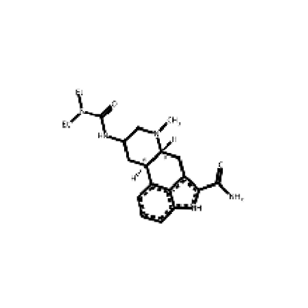 CCN(CC)C(=O)NC1C[C@@H]2c3cccc4[nH]c(C(N)=O)c(c34)C[C@H]2N(C)C1